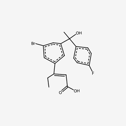 CCC(=CC(=O)O)c1cc(Br)cc(C(C)(O)c2ccc(F)cc2)c1